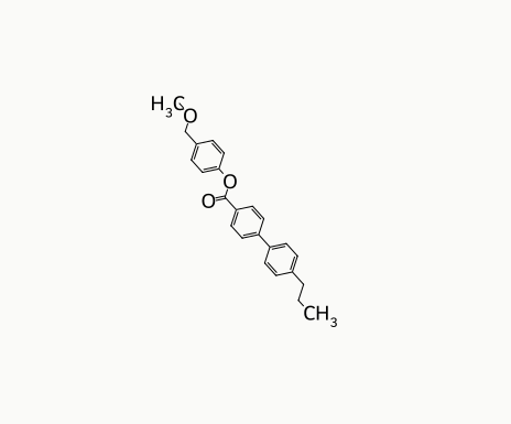 CCCc1ccc(-c2ccc(C(=O)Oc3ccc(COC)cc3)cc2)cc1